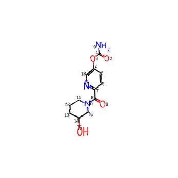 NC(=O)Oc1ccc(C(=O)N2CCCC(O)C2)nc1